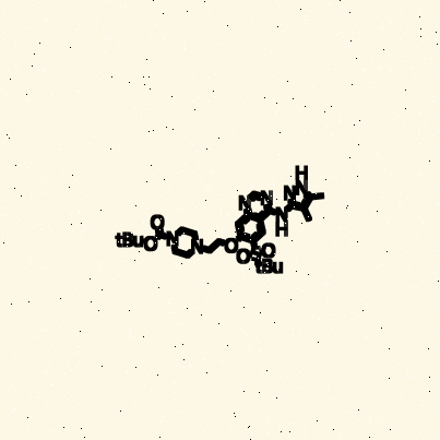 Cc1[nH]nc(Nc2ncnc3cc(OCCN4CCN(C(=O)OC(C)(C)C)CC4)c(S(=O)(=O)C(C)(C)C)cc23)c1C